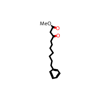 COC(=O)CC(=O)CCCCCCCc1ccccc1